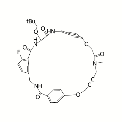 CN1CCCCOc2ccc(cc2)C(=O)NCc2ccc(F)c(c2)C(=O)NC(OCC(C)(C)C)C(=O)Nc2ccc(cc2)CCC1=O